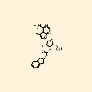 Nc1ncnc2c1c(I)cn2[C@@H]1O[C@H](CO)[C@@H](OC(=O)OC2Cc3ccccc3C2)[C@@H]1F